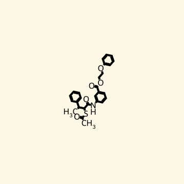 CC(=O)SC(C(=O)Nc1cccc(C(=O)OCCOc2ccccc2)c1)C(C)c1ccccc1